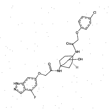 O=C(COc1cc(F)c2cn[nH]c2c1)NC12CCC(NC(=O)COc3ccc(Cl)cc3)(CC1)[C@@H](O)C2